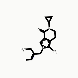 NC/C(=C\F)Cn1cc2c(c1C(F)(F)F)CCN(C1CC1)C2=O